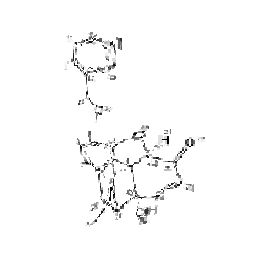 CN1CC[C@]23c4c5ccc(OCc6ccccc6)c4O[C@H]2C(=O)C=C[C@@]3(O)C1C5